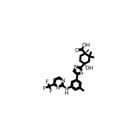 Cc1cc(Nc2nccc(C(F)(F)F)n2)cc(-c2cnc([C@@]3(O)CC[C@](C)(C(=O)O)C(C)(C)C3)s2)c1